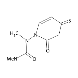 CNC(=O)N(C)N1C=CC(=S)CC1=O